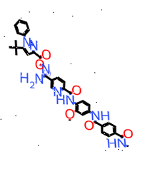 CNC(=O)c1ccc(C(=O)Nc2ccc(NC(=O)c3ccc(/C(N)=N/OC(=O)c4cc(C(C)(C)C)n(-c5ccccc5)n4)cn3)c(OC)c2)cc1